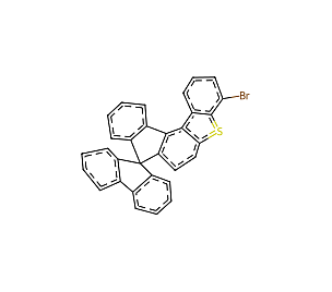 Brc1cccc2c1sc1ccc3c(c12)-c1ccccc1C31c2ccccc2-c2ccccc21